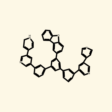 C1=CC(c2cncc(-c3cccc(-c4cc(-c5cccc(-c6cncc(-c7ccncc7)c6)c5)cc(-c5ccc6oc7ccccc7c6c5)c4)c3)c2)=CCN1